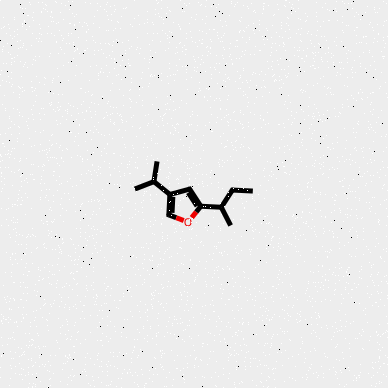 CCC(C)c1cc(C(C)C)co1